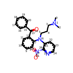 CN(C)CCCN(c1ccccc1C(=O)c1ccccc1)c1cccnc1[N+](=O)[O-]